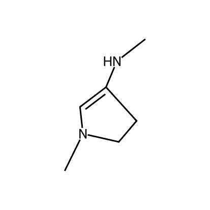 CNC1=CN(C)CC1